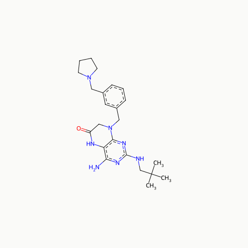 CC(C)(C)CNc1nc(N)c2c(n1)N(Cc1cccc(CN3CCCC3)c1)CC(=O)N2